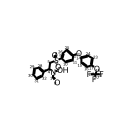 O=CN(O)C(CS(=O)(=O)c1ccc(Oc2ccc(OC(F)(F)F)cc2)cc1)c1ccccc1